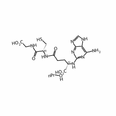 CCCO.Nc1nc(N[C@@H](CCC(=O)N[C@@H](CS)C(=O)NCC(=O)O)C(=O)O)nc2nc[nH]c12